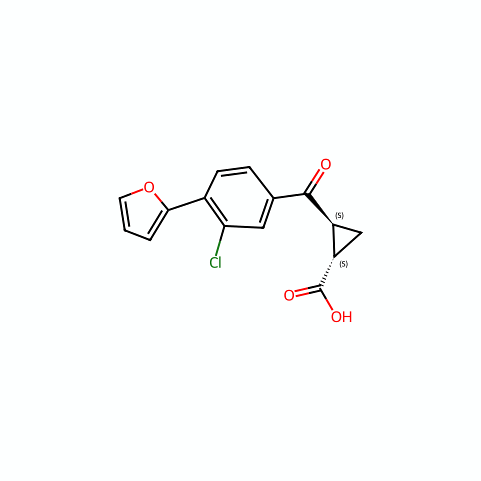 O=C(O)[C@H]1C[C@@H]1C(=O)c1ccc(-c2ccco2)c(Cl)c1